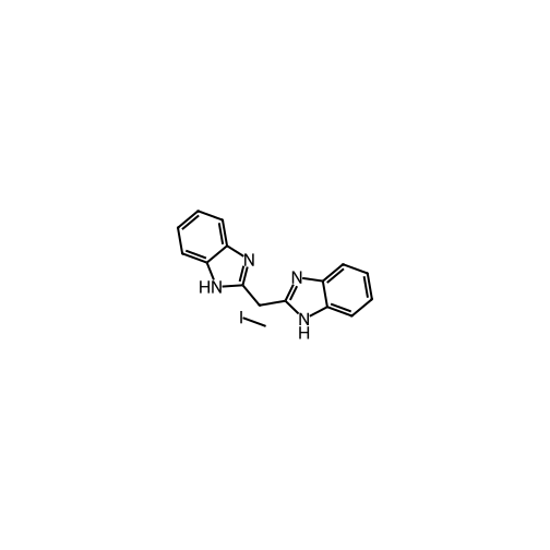 CI.c1ccc2[nH]c(Cc3nc4ccccc4[nH]3)nc2c1